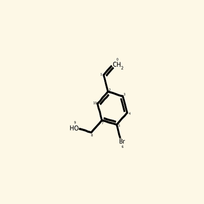 C=Cc1ccc(Br)c(CO)c1